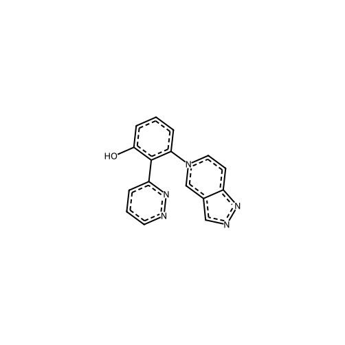 Oc1cccc(-n2ccc3nncc-3c2)c1-c1cccnn1